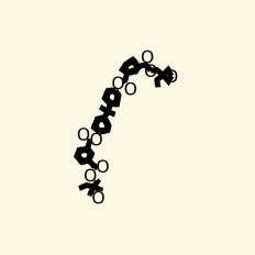 CCC1(COC(=O)c2cccc(C(=O)Oc3ccc(C(C)(C)c4ccc(OC(=O)c5cccc(C(=O)OCC6(CC)COC6)c5)cc4)cc3)c2)COC1